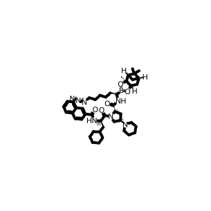 CC1(C)[C@@H]2C[C@H]3OB([C@H](CCCCCN=[N+]=[N-])NC(=O)[C@@H]4C[C@@H](N5CCCCC5)CN4C(=O)[C@@H](CC4CCCCC4)NC(=O)c4ccc5ccccc5c4)O[C@@]3(C)[C@H]1C2